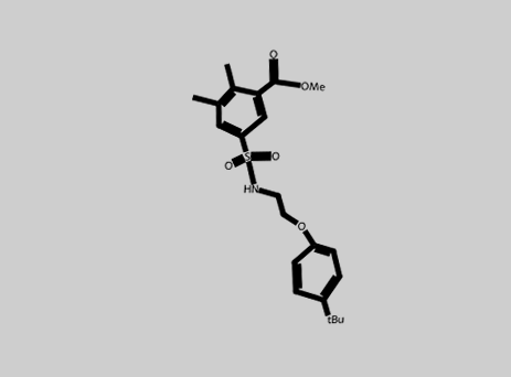 COC(=O)c1cc(S(=O)(=O)NCCOc2ccc(C(C)(C)C)cc2)cc(C)c1C